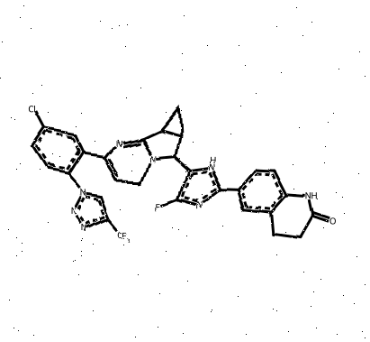 O=C1CCc2cc(-c3nc(F)c(C4C5CC5C5=NC(c6cc(Cl)ccc6-n6cc(C(F)(F)F)nn6)=CCN54)[nH]3)ccc2N1